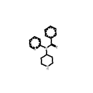 O=C(c1ccccc1)N(c1ccccn1)C1CCNCC1